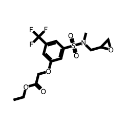 CCOC(=O)COc1cc(C(F)(F)F)cc(S(=O)(=O)N(C)CC2CO2)c1